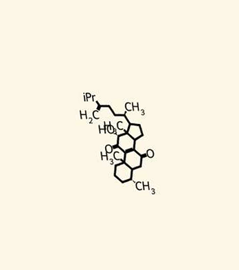 C=C(CC[C@@H](C)C1CCC2C3=C(C(=O)[C@H](O)C21C)C1(C)CCC[C@@H](C)C1CC3=O)C(C)C